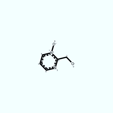 [O]Cc1nccc[n+]1[O-]